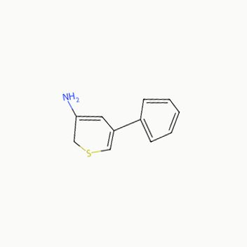 NC1=CC(c2ccccc2)=CSC1